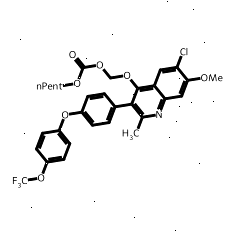 CCCCCOC(=O)OCOc1c(-c2ccc(Oc3ccc(OC(F)(F)F)cc3)cc2)c(C)nc2cc(OC)c(Cl)cc12